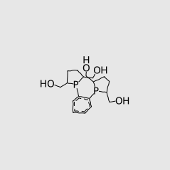 OCC1CCC(CO)P1c1ccccc1P1C(CO)CCC1CO